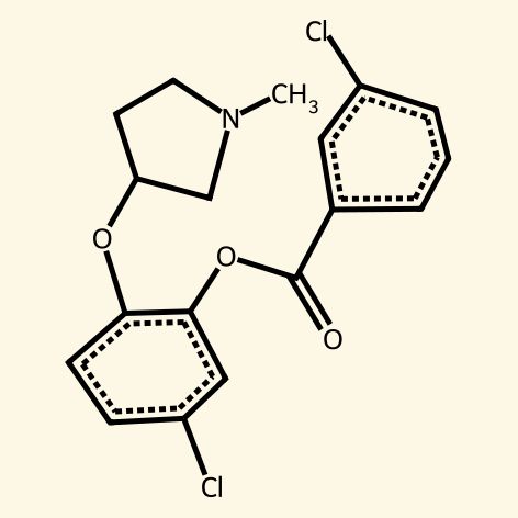 CN1CCC(Oc2ccc(Cl)cc2OC(=O)c2cccc(Cl)c2)C1